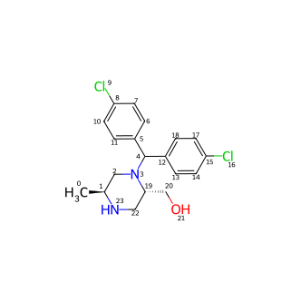 C[C@H]1CN(C(c2ccc(Cl)cc2)c2ccc(Cl)cc2)[C@H](CO)CN1